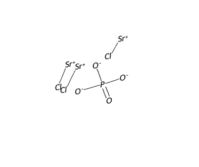 O=P([O-])([O-])[O-].[Cl][Sr+].[Cl][Sr+].[Cl][Sr+]